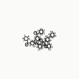 O=C(c1ccccc1)c1ccc2c(c1)c1cc(C(=O)c3ccccc3)ccc1n2-c1cccc2c1C(=O)N(c1ccc(-c3ccccc3)cc1-c1ccccc1)C2=O